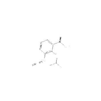 CC(C)Oc1c(N=C=S)cccc1C(N)=O